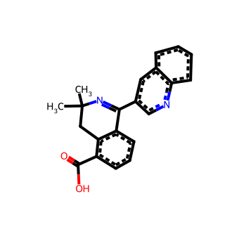 CC1(C)Cc2c(C(=O)O)cccc2C(c2cnc3ccccc3c2)=N1